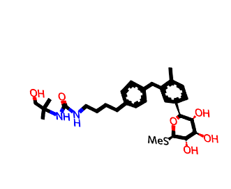 CS[C@H]1O[C@@H](c2ccc(C)c(Cc3ccc(CCCCNC(=O)NC(C)(C)CO)cc3)c2)[C@H](O)[C@@H](O)[C@@H]1O